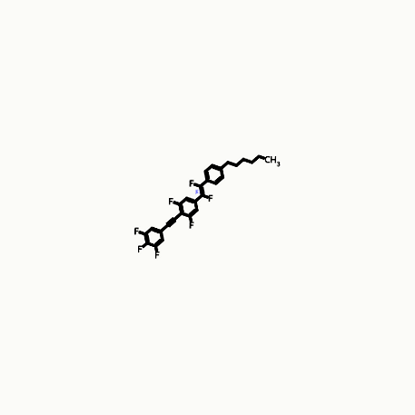 CCCCCCc1ccc(/C(F)=C(\F)c2cc(F)c(C#Cc3cc(F)c(F)c(F)c3)c(F)c2)cc1